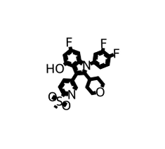 CS(=O)(=O)c1ccc(-c2c(C3CCOCC3)n(-c3ccc(F)c(F)c3)c3cc(F)cc(O)c23)cn1